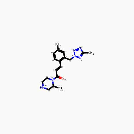 Cc1nnn(Cc2cc(C(F)(F)F)ccc2/C=C/C(=O)N2CCNCC2C)n1